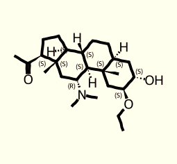 CCO[C@H]1C[C@@]2(C)[C@@H](CC[C@@H]3[C@@H]2[C@H](N(C)C)C[C@]2(C)[C@@H](C(C)=O)CC[C@@H]32)C[C@@H]1O